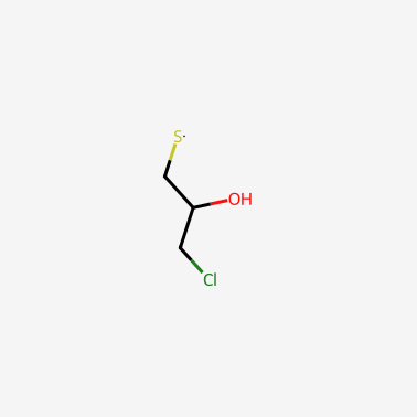 OC(C[S])CCl